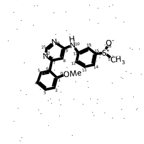 COc1ccccc1-c1cc(Nc2cccc([S+](C)[O-])c2)ncn1